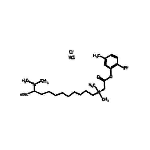 CCCCCCCCCCC(CCCCCCCCC[N+](C)(C)CC(=O)Oc1cc(C)ccc1C(C)C)N(C)C.Cl.[Cl-]